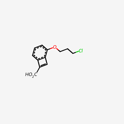 O=C(O)C1=Cc2c(OCCCCl)cccc21